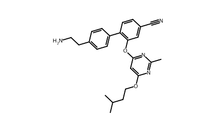 Cc1nc(OCCC(C)C)cc(Oc2cc(C#N)ccc2-c2ccc(CCN)cc2)n1